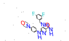 CNC(=O)c1cnc(Nc2ccc(N3CCOCC3)cc2)cc1NCc1cc(F)cc(F)c1